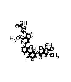 COc1nc(-c2cccc(-c3c(F)ccc(NC(=O)c4cn(C)c(=O)n(C)c4=O)c3Cl)c2Cl)cc2c1[C@H](N1CC(C(=O)O)C1)CC2